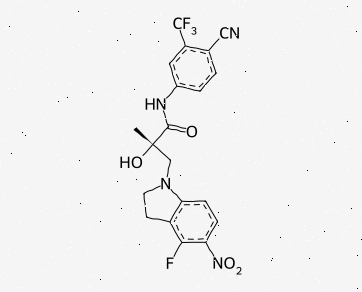 C[C@](O)(CN1CCc2c1ccc([N+](=O)[O-])c2F)C(=O)Nc1ccc(C#N)c(C(F)(F)F)c1